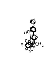 C=C(c1cnc(-c2ccc(-n3ccnc3)cc2O)nn1)[C@@H]1C[C@]2(C)N[C@@](C)(C[C@@H]2F)[C@H]1F